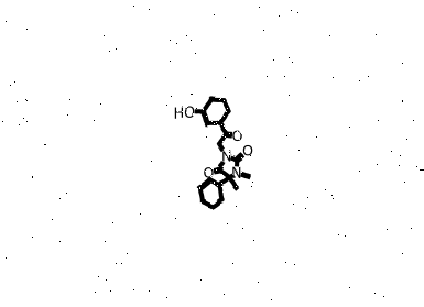 CN1C(=O)N(CC(=O)C2CCCC(O)C2)C(=O)C1(C)C1CCCCC1